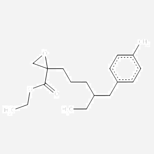 CCOC(=O)C1(CCCC(CC)Cc2ccc(C)cc2)CO1